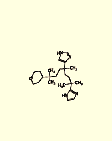 CC(C)(CCC(C)(CCC(C)(C)C1CCOCC1)c1c[nH]cn1)c1ncc[nH]1